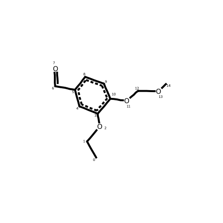 CCOc1cc(C=O)ccc1OCOC